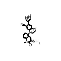 CN1CCN(c2cccc3c2cc(N)c(=O)n3C)c2cc(C#N)c(-c3cnn(C)c3)cc21